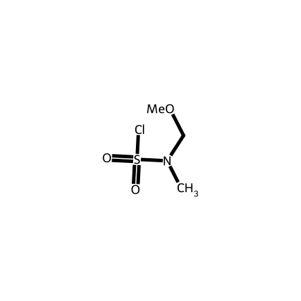 COCN(C)S(=O)(=O)Cl